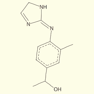 Cc1cc(C(C)O)ccc1N=C1N=CCN1